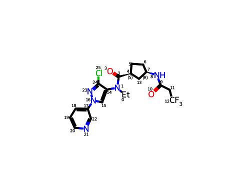 CCN(C(=O)[C@H]1CC[C@@H](NC(=O)CC(F)(F)F)C1)c1cn(-c2cccnc2)nc1Cl